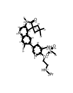 CC(C)NCCOc1ncc(-c2cc3c4c(cnc3cc2F)N(C)C(=O)C42CC(C)(C)C2)cc1NS(C)(=O)=O